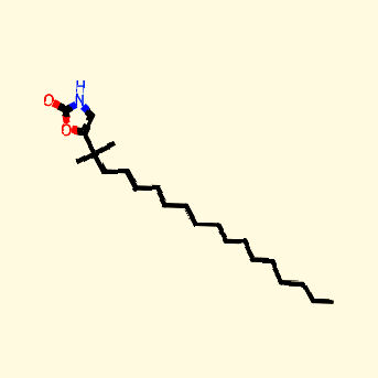 CCCCCCCCCCCCCCCCC(C)(C)c1c[nH]c(=O)o1